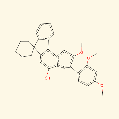 COc1ccc(-c2cc3c(O)cc4c(c3cc2OC)-c2ccccc2C42CCCCC2)c(OC)c1